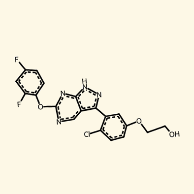 OCCOc1ccc(Cl)c(-c2n[nH]c3nc(Oc4ccc(F)cc4F)ncc23)c1